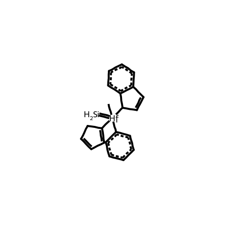 [CH3][Hf](=[SiH2])([C]1=CC=CC1)([c]1ccccc1)[CH]1C=Cc2ccccc21